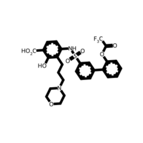 O=C(O)c1ccc(NS(=O)(=O)c2cccc(-c3ccccc3OC(=O)C(F)(F)F)c2)c(CCCN2CCOCC2)c1O